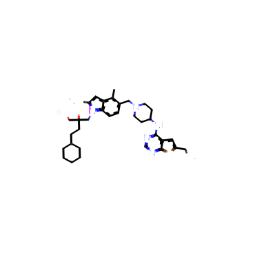 Cc1c(CN2CCC(Nc3ncnc4sc(CC(F)(F)F)cc34)CC2)ccc2c1cc(C#N)n2CC(O)(CO)CCC1CCCCC1